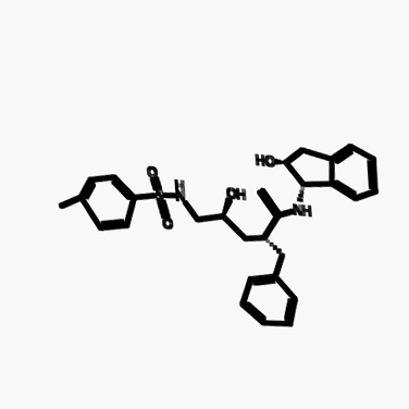 C=C(N[C@H]1c2ccccc2C[C@H]1O)[C@H](Cc1ccccc1)C[C@H](O)CNS(=O)(=O)c1ccc(C)cc1